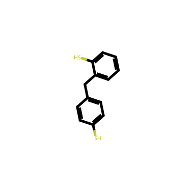 Sc1ccc(Cc2ccccc2S)cc1